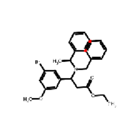 CCOC(=O)CC(c1cc(Br)cc(OC)c1)N(Cc1ccccc1)C(C)c1ccccc1